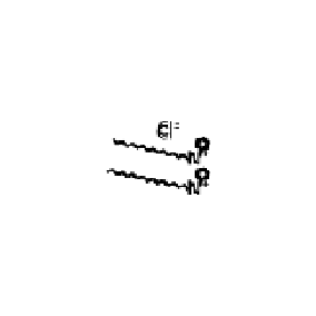 CCCCCCCCCCCCCCCCC[N+](C)(C)Cc1ccccc1.CCCCCCCCCCCCCCCC[N+](C)(C)Cc1ccccc1.[Cl-].[Cl-]